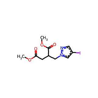 COC(=O)CC(Cn1cc(I)cn1)C(=O)OC